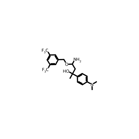 CN(C)c1ccc(C(C)(O)CC(N)OCc2cc(C(F)(F)F)cc(C(F)(F)F)c2)cc1